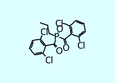 CCCP(=O)(C(=O)c1c(Cl)cccc1Cl)C(=O)c1c(Cl)cccc1Cl